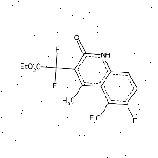 CCOC(=O)C(F)(F)c1c(C)c2c(C(F)(F)F)c(F)ccc2[nH]c1=O